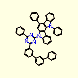 c1ccc(-c2cccc(-c3cccc(-c4nc(-c5ccccc5)nc(-n5c6ccccc6c6c5cc(-c5ccccc5)c5c7ccccc7n(-c7ccccc7)c56)n4)c3)c2)cc1